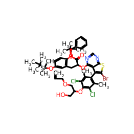 C=CCOCC(CO)Oc1c(Cl)c(C)c(-c2c(Br)sc3ncnc(OC(Cc4cc(O[Si](C)(C)C(C)(C)C)ccc4OCc4ccccc4)C(=O)OC(C)(C)C)c23)c(C)c1Cl